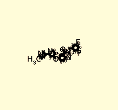 Cn1cc(-c2cc(Oc3ccc4ncn(Cc5cc(F)cc(F)c5)c(=O)c4c3)ccn2)cn1